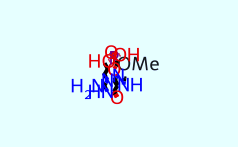 COC(OC(C)CN1c2nc[nH]c2C(=O)NC1N)P(=O)(O)O